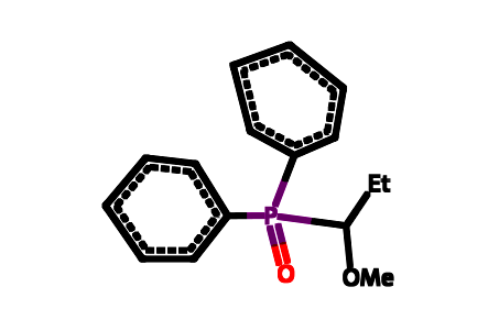 CCC(OC)P(=O)(c1ccccc1)c1ccccc1